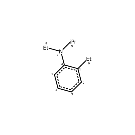 CCc1ccccc1N(CC)C(C)C